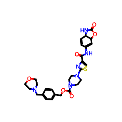 O=C1NC2C=CC(NC(=O)c3csc(N4CCN(C(=O)OCc5ccc(CN6CCOCC6)cc5)CC4)n3)=CC2O1